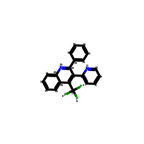 FC(F)(F)c1c(-c2ccccn2)c(-c2ccccc2)nc2ccccc12